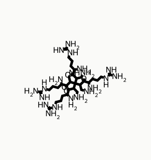 N=C(N)NCCCC(N)C(=O)C(CN)C(C(CN)C(=O)C(N)CCCNC(=N)N)(C(CN)C(=O)C(N)CCCNC(=N)N)C(CN)C(=O)C(N)CCCNC(=N)N